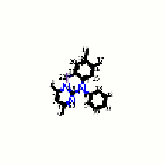 Cc1cc(C)nc(N(c2ccccc2)c2cc(C)c(C)cc2I)n1